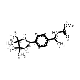 COC(=O)NC(C)c1ccc(B2OC(C)(C)C(C)(C)O2)cc1